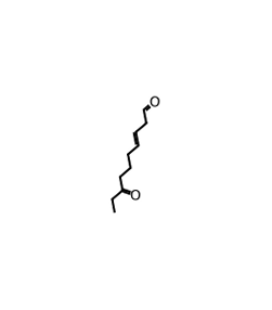 CCC(=O)CCCC=CCC=O